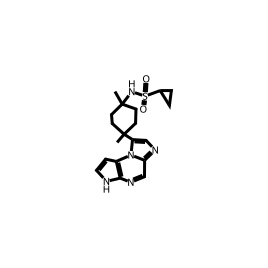 CC1(NS(=O)(=O)C2CC2)CCC(C)(c2cnc3cnc4[nH]ccc4n23)CC1